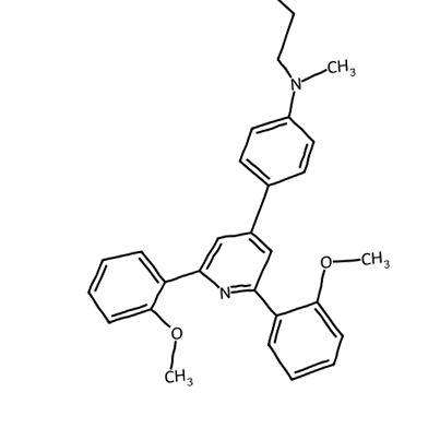 COc1ccccc1-c1cc(-c2ccc(N(C)CCCl)cc2)cc(-c2ccccc2OC)n1